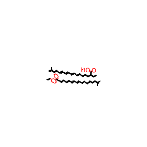 CCC(CCCCCCCCCCCCCC(C)C)C(=O)O.CCOC(=O)CCCCCCCCCCCCCCC(C)C